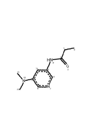 CCC(=O)Nc1cncc(N(C)C)c1